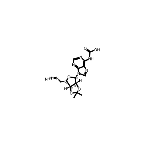 CC1(C)O[C@@H]2[C@H](O1)[C@@H](CN=[N+]=[N-])O[C@H]2n1cnc2c(NC(=O)O)ncnc21